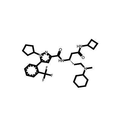 CN(CC[C@@H](CC(=O)NC1CCC1)NC(=O)c1cc(-c2ccccc2C(F)(F)F)n(C2CCCC2)n1)C1CCCCC1